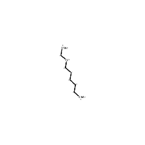 COCCCCCOCOC